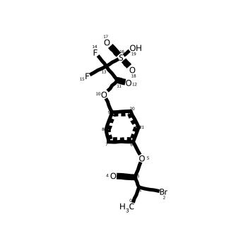 CC(Br)C(=O)Oc1ccc(OC(=O)C(F)(F)S(=O)(=O)O)cc1